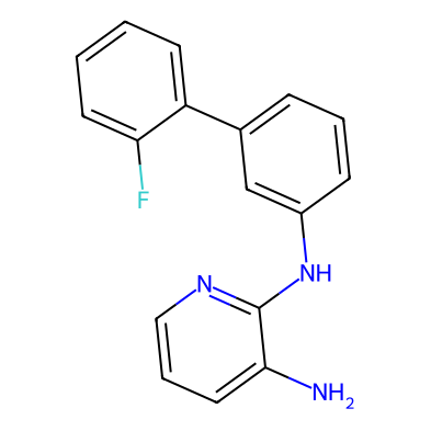 Nc1cccnc1Nc1cccc(-c2ccccc2F)c1